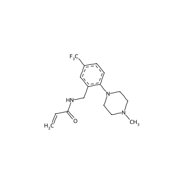 C=CC(=O)NCc1cc(C(F)(F)F)ccc1N1CCN(C)CC1